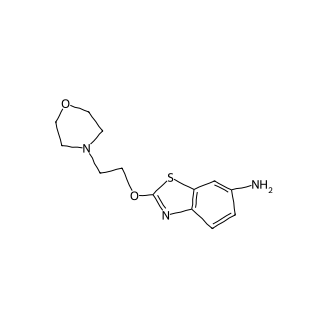 Nc1ccc2nc(OCCN3CCOCC3)sc2c1